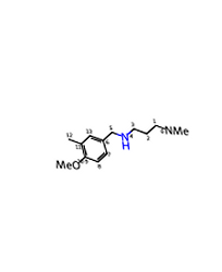 CNCCCNCc1ccc(OC)c(C)c1